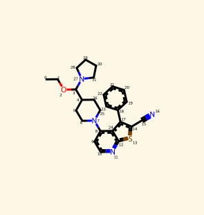 CCOC(C1CCN(c2ccnc3sc(C#N)c(-c4ccccc4)c23)CC1)N1CCCC1